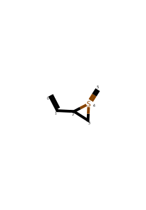 C=CC1CS1=C